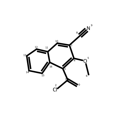 C=C(Cl)c1c(OC)c(C#N)cc2ccccc12